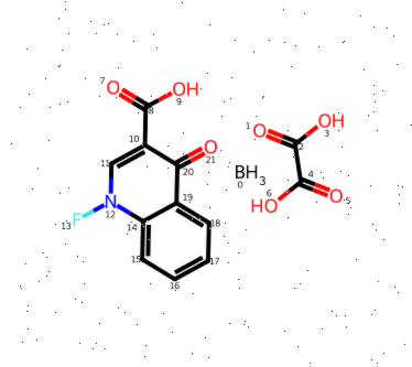 B.O=C(O)C(=O)O.O=C(O)c1cn(F)c2ccccc2c1=O